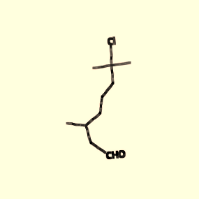 CC(CC=O)CCCC(C)(C)Cl